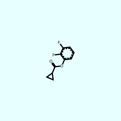 O=C(Oc1cccc(F)c1F)C1CC1